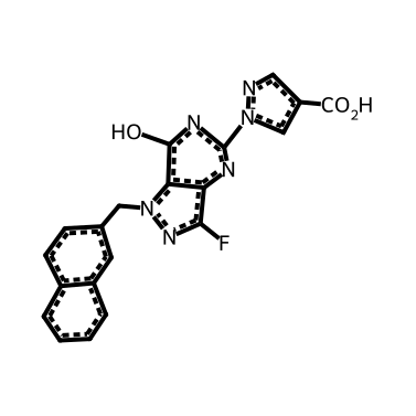 O=C(O)c1cnn(-c2nc(O)c3c(n2)c(F)nn3Cc2ccc3ccccc3c2)c1